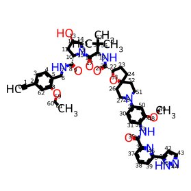 C#Cc1ccc(CNC(=O)[C@@H]2C[C@@H](O)CN2C(=O)[C@@H](NC(=O)[C@@H]2CCC3(CCN(c4ccc(NC(=O)c5cccc(-c6ccn[nH]6)n5)c(OC)c4)CC3)O2)C(C)(C)C)c(OCC)c1